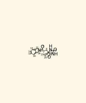 O=C1NC(=O)[C@](CCC(=O)N2Cc3ccccc3C2)(C2CC2)N1